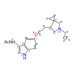 CC(=O)Nc1c[nH]c2ccc(OCCC3CN(CC(F)(F)F)CC34CC4)cc12